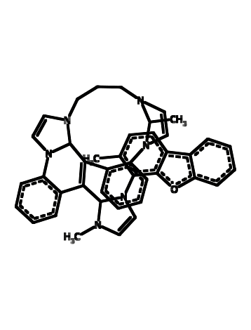 Cc1ccc2c(oc3ccccc32)c1N1C=CN(C)C1C1=C2c3ccccc3N3C=CN(CCCN4C=CN(c5ccccc51)C24)C3C